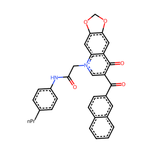 CCCc1ccc(NC(=O)Cn2cc(C(=O)c3ccc4ccccc4c3)c(=O)c3cc4c(cc32)OCO4)cc1